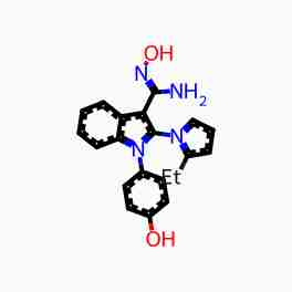 CCc1cccn1-c1c(/C(N)=N/O)c2ccccc2n1-c1ccc(O)cc1